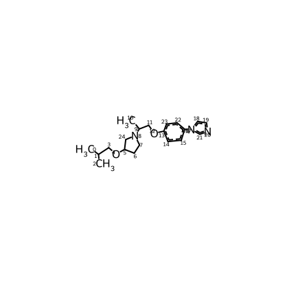 CC(C)COC1CCN(C(C)COc2ccc(-n3ccnc3)cc2)C1